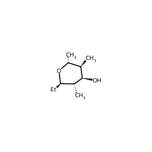 CC[C@H]1O[C@H](C)[C@@H](C)[C@@H](O)[C@@H]1C